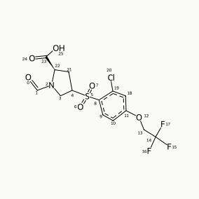 O=CN1CC(S(=O)(=O)c2ccc(OCC(F)(F)F)cc2Cl)C[C@@H]1C(=O)O